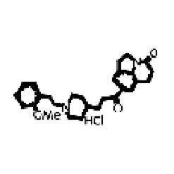 COc1ccccc1CCN1CCC(CCC(=O)c2cc3c4c(c2)CCN4C(=O)CC3)CC1.Cl